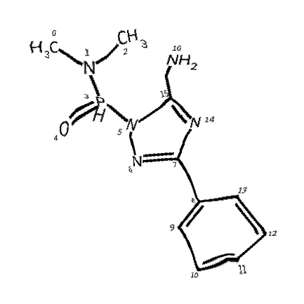 CN(C)[PH](=O)n1nc(-c2ccccc2)nc1N